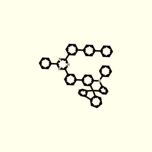 c1ccc(-c2ccc(-c3cccc(-c4nc(-c5ccccc5)nc(-c5cccc(-c6ccc7c(c6)C6(c8ccccc8-c8ccccc86)c6ccccc6N7c6ccccc6)c5)n4)c3)cc2)cc1